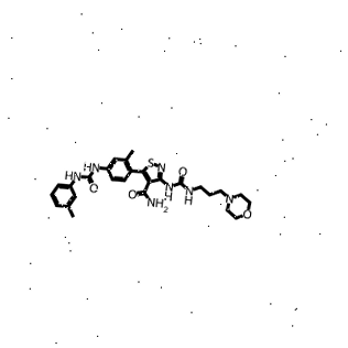 Cc1cccc(NC(=O)Nc2ccc(-c3snc(NC(=O)NCCCN4CCOCC4)c3C(N)=O)c(C)c2)c1